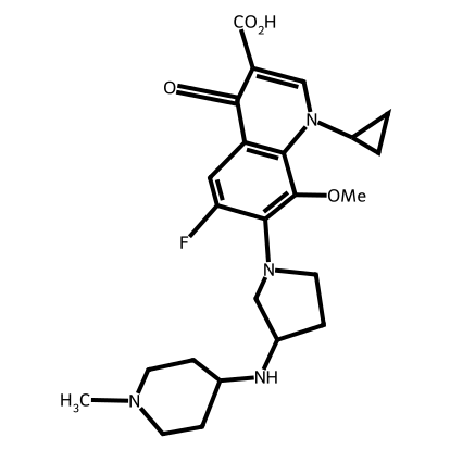 COc1c(N2CCC(NC3CCN(C)CC3)C2)c(F)cc2c(=O)c(C(=O)O)cn(C3CC3)c12